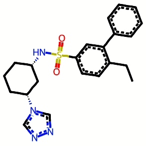 CCc1ccc(S(=O)(=O)N[C@H]2CCC[C@@H](n3cnnc3)C2)cc1-c1ccccc1